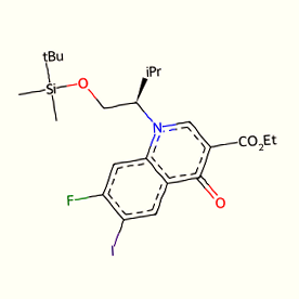 CCOC(=O)c1cn([C@@H](CO[Si](C)(C)C(C)(C)C)C(C)C)c2cc(F)c(I)cc2c1=O